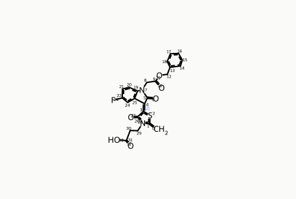 C=c1s/c(=C2\C(=O)N(CC(=O)OCc3ccccc3)c3ccc(F)cc32)c(=O)n1CCC(=O)O